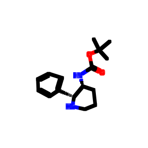 CC(C)(C)OC(=O)N[C@@H]1CCCN[C@@H]1c1ccccc1